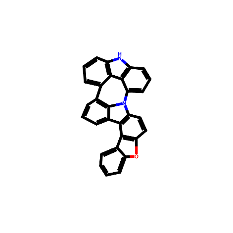 c1ccc2c(c1)oc1ccc3c(c4cccc5c6cccc7[nH]c8cccc(c8c76)n3c54)c12